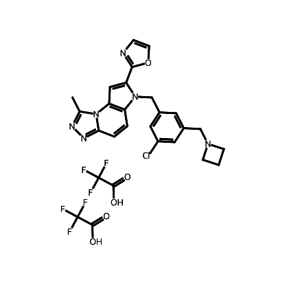 Cc1nnc2ccc3c(cc(-c4ncco4)n3Cc3cc(Cl)cc(CN4CCC4)c3)n12.O=C(O)C(F)(F)F.O=C(O)C(F)(F)F